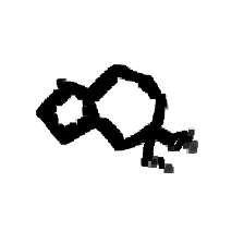 CC1(C)C=c2ccsc2=CC=N1